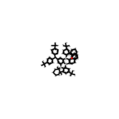 CC(C)(C)c1ccc(C(c2ccc(C(C)(C)C)cc2)c2cc3c4c(c2)N2c5c(cc(C(C)(C)C)cc5C5(C)CCCCC25C)B4c2ccc4sc5ccccc5c4c2N3c2ccc(C(C)(C)C)cc2-c2ccccc2)cc1